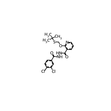 CC(C)(C)SCOc1ncccc1C(=O)NNC(=O)c1ccc(Cl)c(Cl)c1